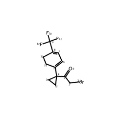 O=C(CBr)C1(C2=CC=C(C(F)(F)F)CC2)CC1